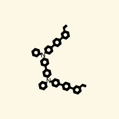 C=Cc1cccc(-c2ccc(-c3ccc(N(c4ccccc4)c4ccc(-c5ccc(N(c6ccccc6)c6ccc(-c7ccc(-c8cccc(C=C)c8)cc7)cc6)cc5)cc4)cc3)cc2)c1